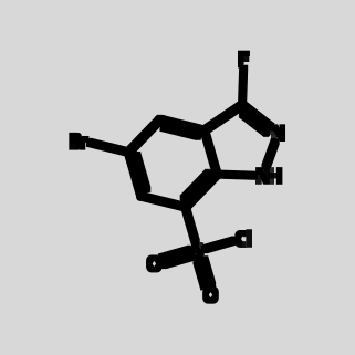 O=S(=O)(Cl)c1cc(Br)cc2c(F)n[nH]c12